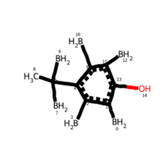 Bc1c(B)c(C(B)(B)C)c(B)c(B)c1O